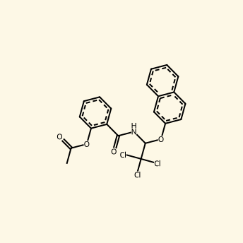 CC(=O)Oc1ccccc1C(=O)NC(Oc1ccc2ccccc2c1)C(Cl)(Cl)Cl